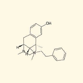 CN1CC[C@]2(C)c3cc(O)ccc3C[C@@H]1[C@H]2N(C)CCc1ccccc1